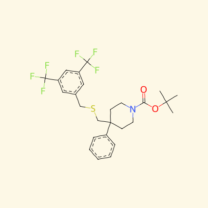 CC(C)(C)OC(=O)N1CCC(CSCc2cc(C(F)(F)F)cc(C(F)(F)F)c2)(c2ccccc2)CC1